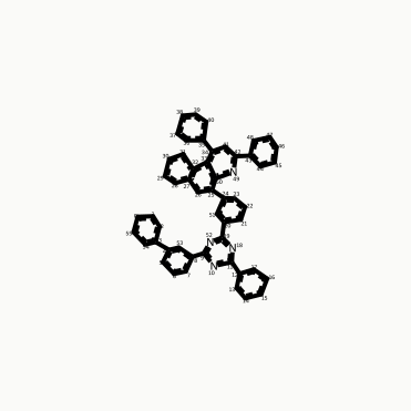 c1ccc(-c2cccc(-c3nc(-c4ccccc4)nc(-c4cccc(-c5cc6ccccc6c6c(-c7ccccc7)cc(-c7ccccc7)nc56)c4)n3)c2)cc1